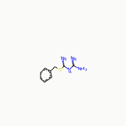 N=C(N)NC(=N)SCc1ccccc1